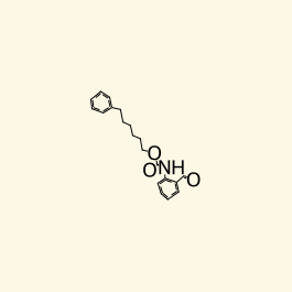 O=Cc1ccccc1NC(=O)OCCCCCCc1ccccc1